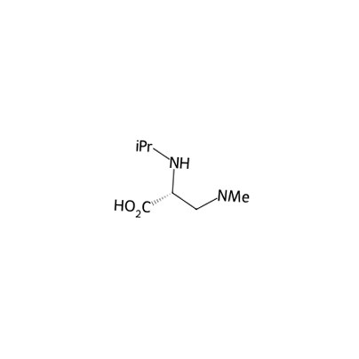 CNC[C@@H](NC(C)C)C(=O)O